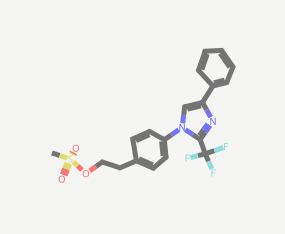 CS(=O)(=O)OCCc1ccc(-n2cc(-c3ccccc3)nc2C(F)(F)F)cc1